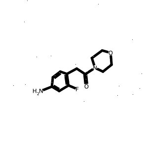 Nc1ccc(CC(=O)N2CCOCC2)c(F)c1